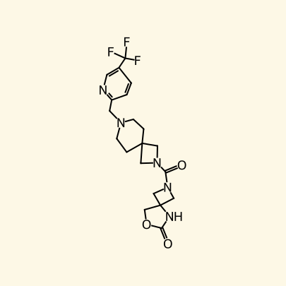 O=C1NC2(CO1)CN(C(=O)N1CC3(CCN(Cc4ccc(C(F)(F)F)cn4)CC3)C1)C2